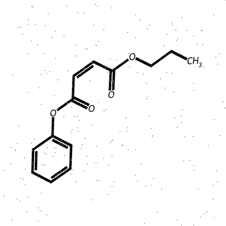 CCCOC(=O)/C=C\C(=O)Oc1ccccc1